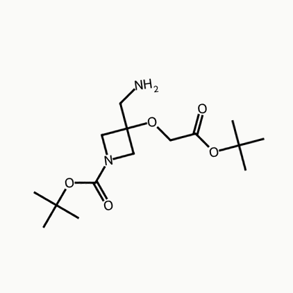 CC(C)(C)OC(=O)COC1(CN)CN(C(=O)OC(C)(C)C)C1